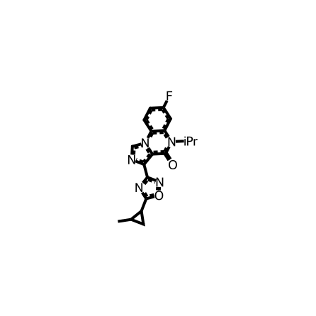 CC1CC1c1nc(-c2ncn3c2c(=O)n(C(C)C)c2cc(F)ccc23)no1